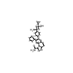 NC(=O)c1nnc2ccc3nc(-c4ccc(C5(N)CC(O)(C6CC6)C5)cc4)c(-c4ccccc4)nc3n12